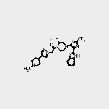 CC1CN(c2sc(C(F)(F)F)nc2-c2nc3ccccc3[nH]2)CCN1C(=O)Cn1cc(C2CCN(C)CC2)cn1